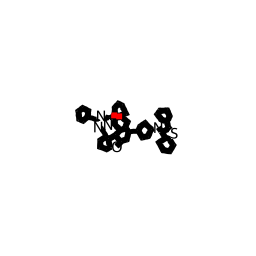 c1ccc(-c2nc(-c3ccccc3)nc(-c3cccc4oc5cc(-c6ccc(-n7c8ccccc8c8sc9ccccc9c87)cc6)c6ccccc6c5c34)n2)cc1